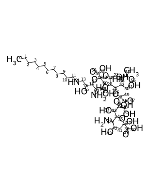 CCCCCCCCCCCCNCC(O)C1OC(OC(CO)C(O)C2OC(OC(CO)C(O)C3OC(O)(C(=O)O)CC(O)C3N)(C(=O)O)CC(O)C2NC(C)=O)(C(=O)O)CC(O)C1N